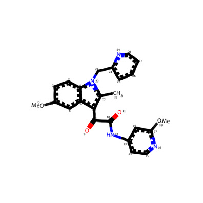 COc1ccc2c(c1)c(C(=O)C(=O)Nc1ccnc(OC)c1)c(C)n2Cc1ccccn1